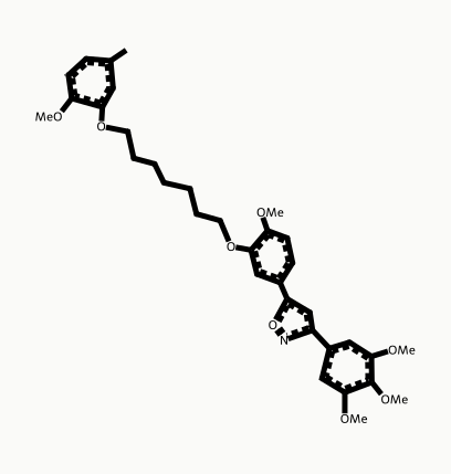 COc1[c]cc(C)cc1OCCCCCCCOc1cc(-c2cc(-c3cc(OC)c(OC)c(OC)c3)no2)ccc1OC